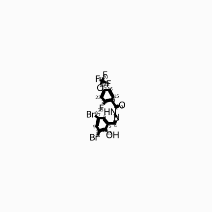 O=C(N/N=C\c1cc(Br)cc(Br)c1O)c1ccc(OC(F)(F)F)cc1F